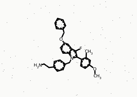 COc1ccc(-c2c(F)c3cc(OCc4ccccc4)ccc3n2Cc2ccc(CCN)cc2)c(C)c1